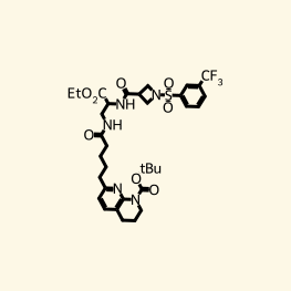 CCOC(=O)C(CNC(=O)CCCCc1ccc2c(n1)N(C(=O)OC(C)(C)C)CCC2)NC(=O)C1CN(S(=O)(=O)c2cccc(C(F)(F)F)c2)C1